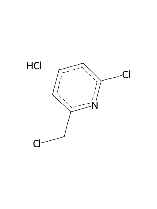 Cl.ClCc1cccc(Cl)n1